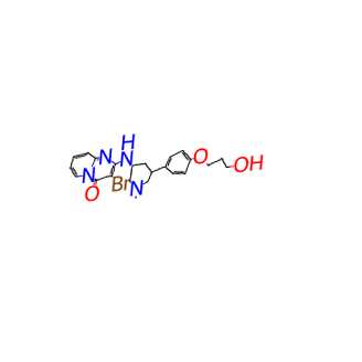 CN1CC(Nc2nc3ccccn3c(=O)c2Br)CC(c2ccc(OCCCO)cc2)C1